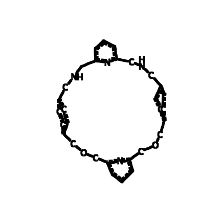 c1cc2nc(c1)CNCc1ccc(cc1)COCc1cccc(n1)COCc1ccc(cc1)CNC2